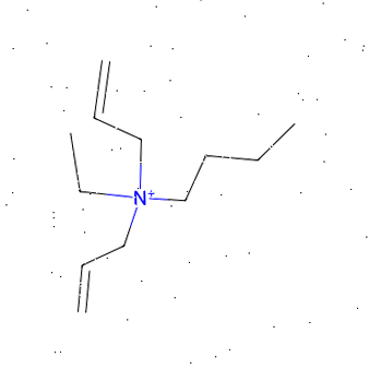 C=CC[N+](CC)(CC=C)CCCC